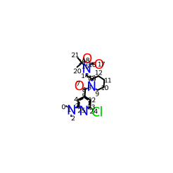 CN(C)c1cc(C(=O)N2CCCC[C@@H]2CN2C(=O)OC2(C)C)cc(Cl)n1